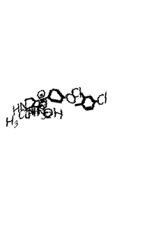 CC1(C)NCCC(S(=O)(=O)c2ccc(OCc3ccc(Cl)cc3Cl)cc2)C1(N)C(=O)NO